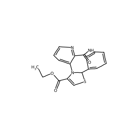 CCOC(=O)C1=CSC(c2ccccn2)N1c1cccnc1C(N)=O